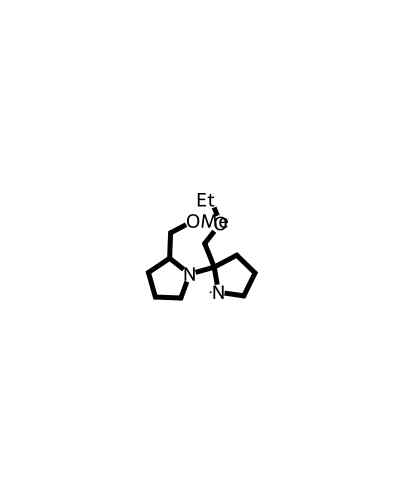 CCOCC1(N2CCCC2COC)CCC[N]1